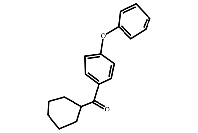 O=C(c1ccc(Oc2ccccc2)cc1)C1CCCCC1